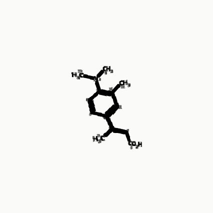 CC(=CC(=O)O)c1ccc(N(C)C)c(C)c1